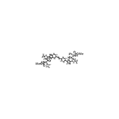 COC(=O)N[C@H](C(=O)N1CC2(CC2)C[C@H]1c1ncc(-c2ccc(C#Cc3ccc4nc([C@@H]5CC6(CC6)CN5C(=O)[C@@H](NC(=O)OC)C5CCC5)[nH]c4c3)cc2)[nH]1)C(C)C